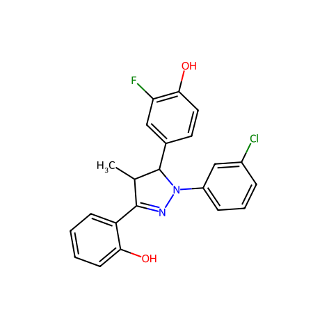 CC1C(c2ccccc2O)=NN(c2cccc(Cl)c2)C1c1ccc(O)c(F)c1